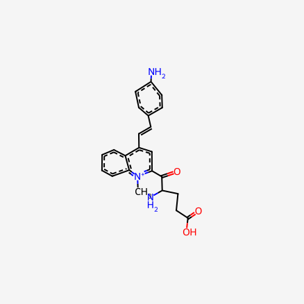 C[n+]1c(C(=O)C(N)CCC(=O)O)cc(C=Cc2ccc(N)cc2)c2ccccc21